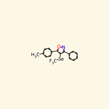 Cc1ccc(-c2onc(-c3ccccc3)c2[Se]C(F)(F)F)cc1